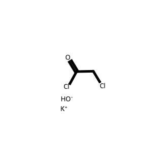 O=C(Cl)CCl.[K+].[OH-]